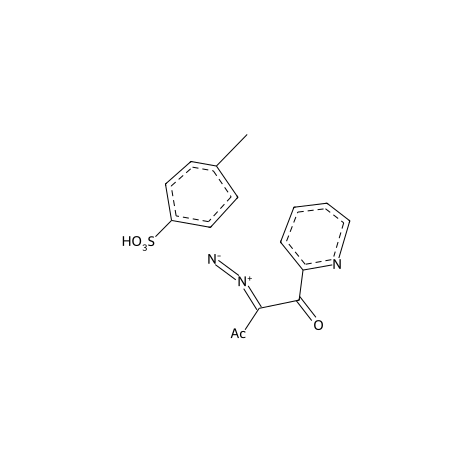 CC(=O)C(=[N+]=[N-])C(=O)c1ccccn1.Cc1ccc(S(=O)(=O)O)cc1